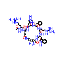 CC(=O)N[C@@H](CCCNC(=N)N)C(O)N[C@H]1CCC(=O)NCCC[C@@H](C(N)=O)NC(=O)[C@H](Cc2c[nH]c3ccccc23)NC(=O)[C@H](CCCNC(=N)N)NC(=O)[C@@H](Cc2ccccc2)NC(O)[C@H](Cc2c[nH]cn2)NC1=O